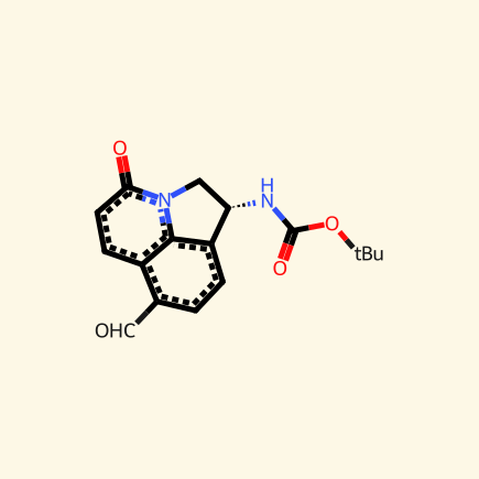 CC(C)(C)OC(=O)N[C@H]1Cn2c(=O)ccc3c(C=O)ccc1c32